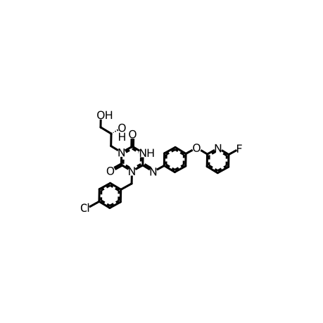 O=c1[nH]/c(=N\c2ccc(Oc3cccc(F)n3)cc2)n(Cc2ccc(Cl)cc2)c(=O)n1C[C@@H](O)CO